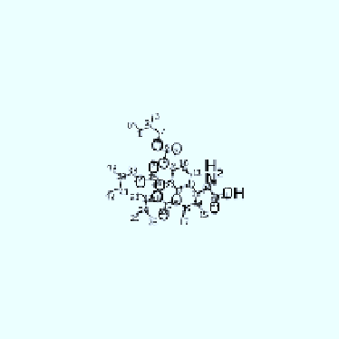 CCC(C)COC(=O)Oc1ccc(C(C(C)C(C)OC(=O)OC(C)C(C)C)[C@H](N)C(=O)O)cc1OC(=O)OCC(C)CC